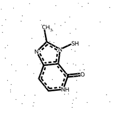 Cc1nc2cc[nH]c(=O)c2n1S